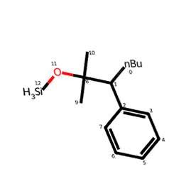 CCCCC(c1ccccc1)C(C)(C)O[SiH3]